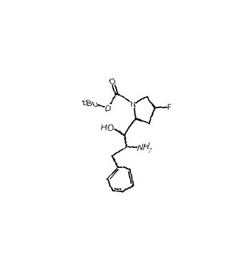 CC(C)(C)OC(=O)N1CC(F)CC1C(O)C(N)Cc1ccccc1